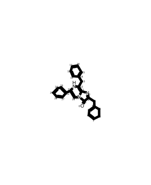 O=c1c(CC2=CC=CCC2)nc2c(Cc3ccccc3)[nH]c(-c3ccccc3)cn1-2